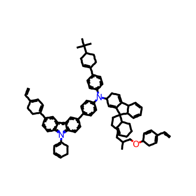 C=CC1=CCC(OCC(C)CCCCC2(C3C=CCCC3)C3=CC(N(c4ccc(C5=CCC(C(C)(C)C)CC5)cc4)c4ccc(-c5ccc6c(c5)c5cc(C7=CC=C(C=C)CC7)ccc5n6C5=CC=CCC5)cc4)CC=C3C3C=CC=CC32)C=C1